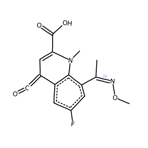 CO/N=C(/C)c1cc(F)cc2c1N(C)C(C(=O)O)=CC2=C=O